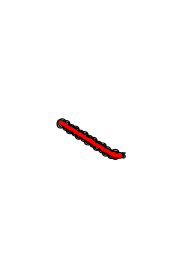 C=CC(=O)OCCCCCC(=O)OCCCCCC(=O)OCCCCCC(=O)OCCCCCC(=O)OCCCCCC(=O)OCCCCCC(=O)OCCCCCC(=O)OCCCCCC(=O)OCCCCCC(=O)OCCCCCC(=O)OCCCCCCOc1ccc(C(=O)Oc2ccc(-c3ccccc3)cc2)cc1